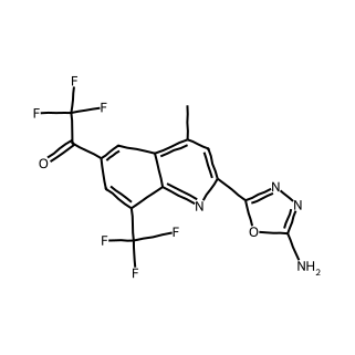 Cc1cc(-c2nnc(N)o2)nc2c(C(F)(F)F)cc(C(=O)C(F)(F)F)cc12